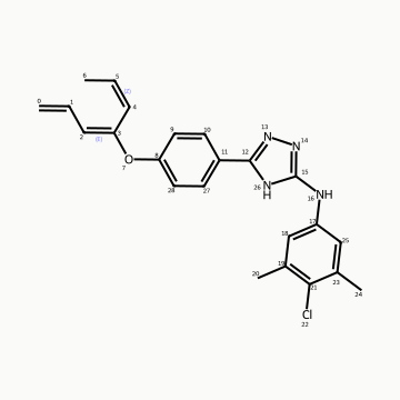 C=C/C=C(\C=C/C)Oc1ccc(-c2nnc(Nc3cc(C)c(Cl)c(C)c3)[nH]2)cc1